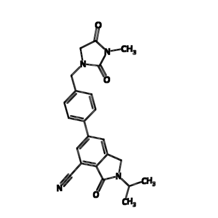 CC(C)N1Cc2cc(-c3ccc(CN4CC(=O)N(C)C4=O)cc3)cc(C#N)c2C1=O